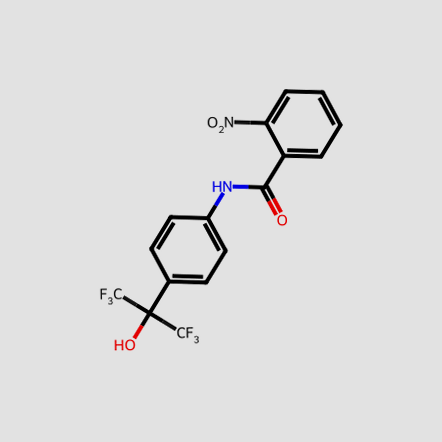 O=C(Nc1ccc(C(O)(C(F)(F)F)C(F)(F)F)cc1)c1ccccc1[N+](=O)[O-]